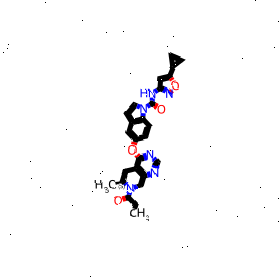 CCC(=O)N1Cc2ncnc(Oc3ccc4c(ccn4C(=O)Nc4cc(C5CC5)on4)c3)c2C[C@@H]1C